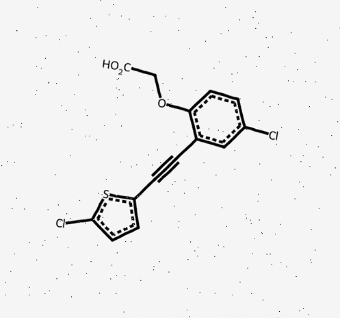 O=C(O)COc1ccc(Cl)cc1C#Cc1ccc(Cl)s1